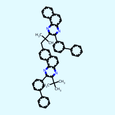 CC(C)(C)c1nc2ccc3cc(CC(C)(C)c4nc5c(ccc6ccccc65)nc4-c4cccc(-c5ccccc5)c4)ccc3c2nc1-c1cccc(-c2ccccc2)c1